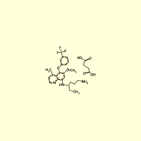 CCC(CCCN)Nc1cc(OC)c(Oc2cccc(C(F)(F)F)c2)c2c(C)ccnc12.O=C(O)CCC(=O)O